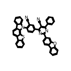 N#Cc1cc(-c2nc(-c3ccc4c(c3)oc3ccccc34)nc(-c3ccccc3)c2C#N)ccc1-n1c2ccccc2c2ccc3c4ccccc4sc3c21